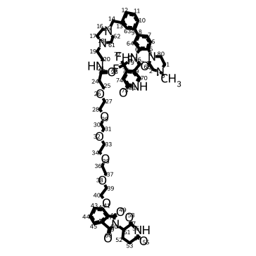 CN1CCN(c2ccc(-c3cccc(CN4CCN(CCNC(=O)CCOCCOCCOCCOCCOCCOc5cccc6c5C(=O)N(C5CCC(=O)NC5=O)C6=O)CC4)c3)cc2NC(=O)c2c[nH]c(=O)cc2C(F)(F)F)CC1